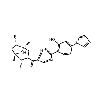 C=C(c1cnc(-c2ccc(-n3ccnc3)cc2O)nn1)C1C[C@]2(C)N[C@@](C)(C[C@@H]2F)[C@H]1F